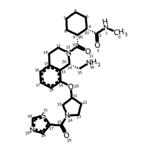 CNC(=O)[C@H]1CCCC[C@H]1C(=O)N1CCc2cccc(OC3CCN(C(=O)c4cncs4)C3)c2[C@H]1CN